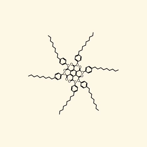 CCCCCCCCCc1ccc(OC(=O)c2c(C(=O)Oc3ccc(CCCCCCCCC)cc3)c(C(=O)Oc3ccc(CCCCCCCCC)cc3)c(C(=O)Oc3ccc(CCCCCCCCC)cc3)c(C(=O)Oc3ccc(CCCCCCCCC)cc3)c2C(=O)Oc2ccc(CCCCCCCCC)cc2)cc1